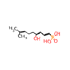 CC(C)=CCC/C(O)=C/C=C/P(=O)(O)O